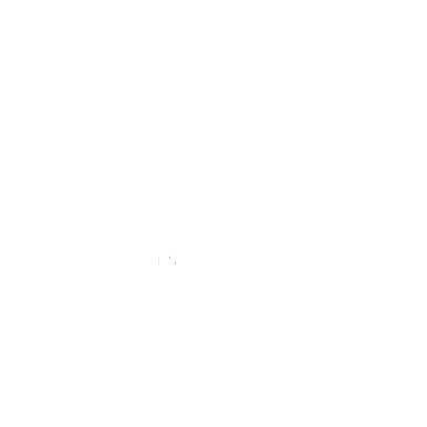 Cc1c(I)cc(F)c2c1NCCO2